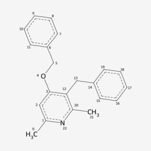 Cc1cc(OCc2ccccc2)c(Cc2ccccc2)c(C)n1